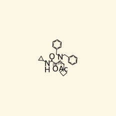 CC(=O)O[C@H](C(=O)NC1CC1)[C@H](CC1CCC1)N(Cc1ccccc1)Cc1ccccc1